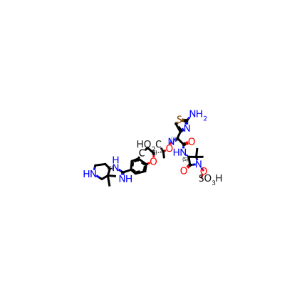 CC1(C)CNCC[C@@H]1NC(=N)c1ccc2c(c1)CC[C@H](C(C)(O/N=C(\C(=O)N[C@@H]1C(=O)N(OS(=O)(=O)O)C1(C)C)c1csc(N)n1)C(=O)O)O2